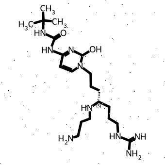 CC(C)(C)NC(=O)NC1=NC(O)N(CCC[C@H](CCCNC(=N)N)NCCCN)C=C1